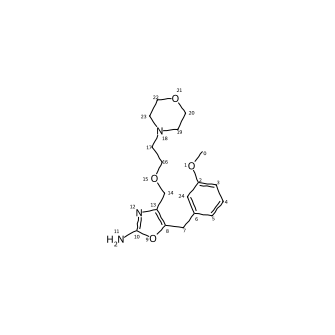 COc1cccc(Cc2oc(N)nc2COCCN2CCOCC2)c1